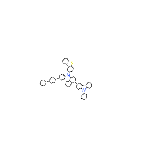 c1ccc(-c2ccc(-c3ccc(N(c4ccc5sc6ccccc6c5c4)c4ccc(-c5ccc6c(c5)c5ccccc5n6-c5ccccc5)c5ccccc45)cc3)cc2)cc1